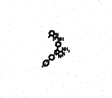 Cc1cccc2nc(Nc3ccc(-c4cn([C@H]5CC[C@@H](N6CCN(C)CC6)CC5)c5ncnc(N)c45)cc3)n(C)c12